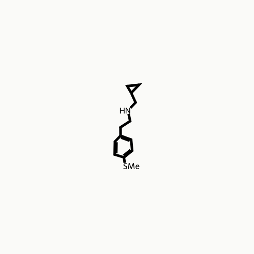 CSc1ccc(CCNCC2CC2)cc1